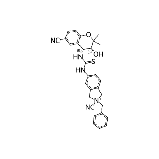 CC1(C)Oc2ccc(C#N)cc2[C@@H](NC(=S)Nc2ccc3c(c2)C[N+](C#N)(Cc2ccccc2)C3)[C@@H]1O